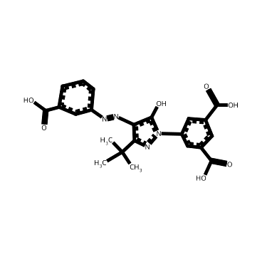 CC(C)(C)c1nn(-c2cc(C(=O)O)cc(C(=O)O)c2)c(O)c1/N=N/c1cccc(C(=O)O)c1